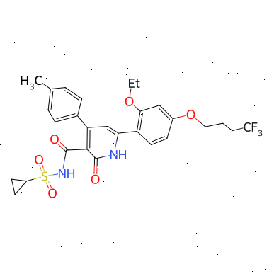 CCOc1cc(OCCCC(F)(F)F)ccc1-c1cc(-c2ccc(C)cc2)c(C(=O)NS(=O)(=O)C2CC2)c(=O)[nH]1